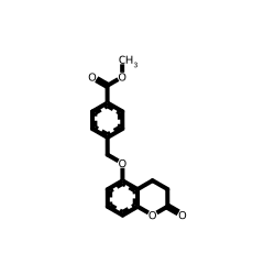 COC(=O)c1ccc(COc2cccc3c2CCC(=O)O3)cc1